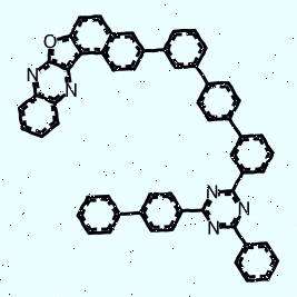 c1ccc(-c2ccc(-c3nc(-c4ccccc4)nc(-c4cccc(-c5ccc(-c6cccc(-c7ccc8c(ccc9oc%10nc%11ccccc%11nc%10c98)c7)c6)cc5)c4)n3)cc2)cc1